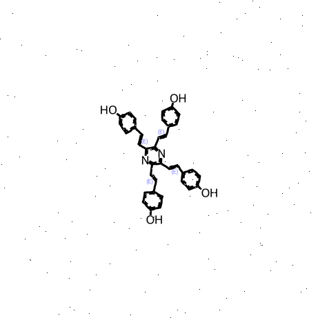 Oc1ccc(/C=C/c2nc(/C=C/c3ccc(O)cc3)c(/C=C/c3ccc(O)cc3)nc2/C=C/c2ccc(O)cc2)cc1